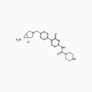 N[C@@H]1C2CN(Cc3ccc(-n4ccc(NC(=O)N5CCNCC5)nc4=O)cc3)C[C@H]21